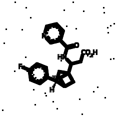 O=C(O)CC(NC(=O)c1cccnc1)C12CC(C1)[C@@H](c1ccc(F)cc1)C2